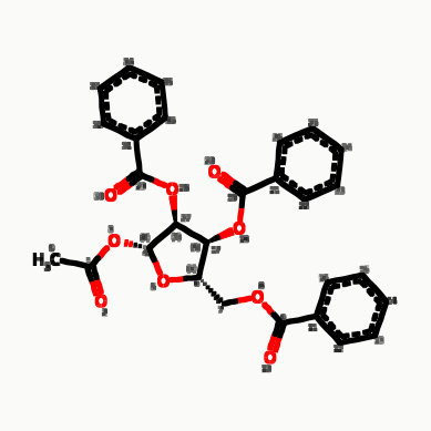 CC(=O)O[C@H]1O[C@@H](COC(=O)c2ccccc2)[C@H](OC(=O)c2ccccc2)[C@@H]1OC(=O)c1ccccc1